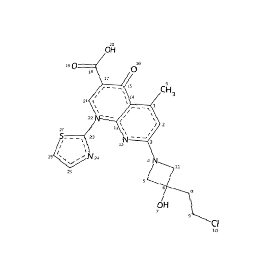 Cc1cc(N2CC(O)(CCCl)C2)nc2c1c(=O)c(C(=O)O)cn2-c1nccs1